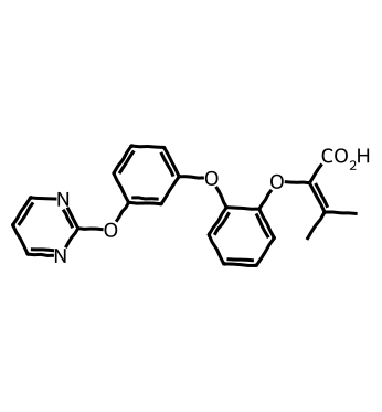 CC(C)=C(Oc1ccccc1Oc1cccc(Oc2ncccn2)c1)C(=O)O